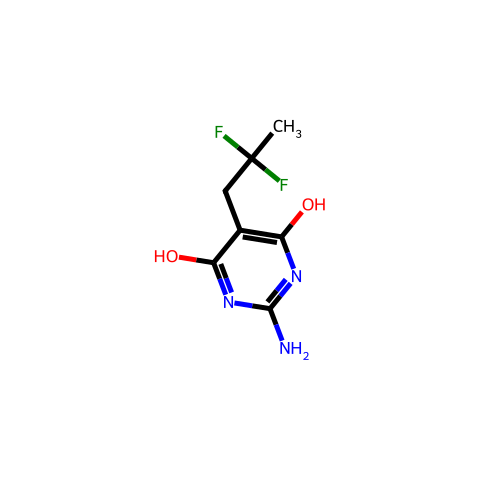 CC(F)(F)Cc1c(O)nc(N)nc1O